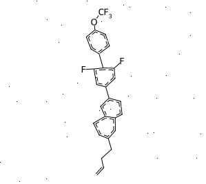 C=CCCc1ccc2cc(-c3cc(F)c(-c4ccc(OC(F)(F)F)cc4)c(F)c3)ccc2c1